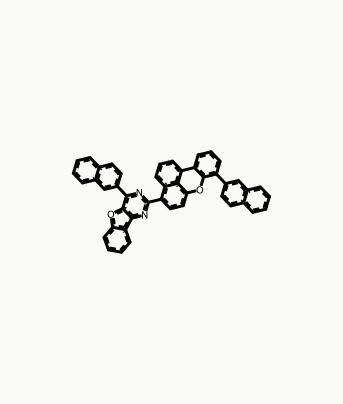 c1cc(-c2ccc3ccccc3c2)c2c(c1)-c1cccc3c(-c4nc(-c5ccc6ccccc6c5)c5oc6ccccc6c5n4)ccc(c13)O2